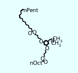 CCCCC/C=C\C/C=C\CCCCCCCC(=O)OCCCCOc1cc(CN(C)C)cc(OCCCCOC(=O)CCCCCCCC)c1